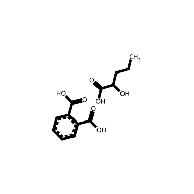 CCCC(O)C(=O)O.O=C(O)c1ccccc1C(=O)O